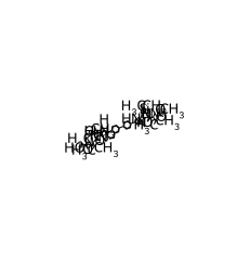 COC(=O)NC(C(=O)N1C[Si](C)(C)CC1c1ncc(-c2ccc(-c3ccc4c(ccc5nc([C@H](C)N(C(=O)C(NC(=O)CO)C(C)C)C(C)C)[nH]c54)c3)cc2)[nH]1)C(C)C